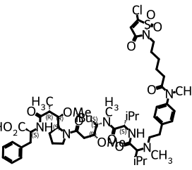 CC[C@H](C)[C@@H]([C@@H](CC(=O)N1CCC[C@H]1[C@H](OC)[C@@H](C)C(=O)N[C@@H](Cc1ccccc1)C(=O)O)OC)N(C)C(=O)[C@@H](NC(=O)C(C(C)C)N(C)CCc1ccc(N(C)C(=O)CCCCCN2C(=O)C=C(Cl)S2(=O)=O)cc1)C(C)C